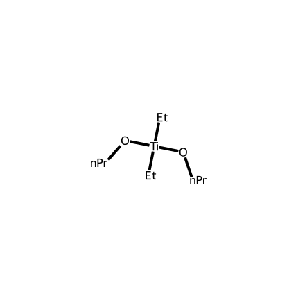 CCC[O][Ti]([CH2]C)([CH2]C)[O]CCC